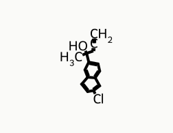 C=C=CC(C)(O)c1ccc2cc(Cl)ccc2c1